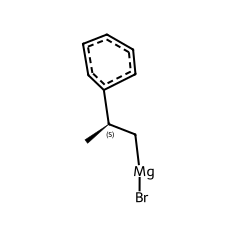 C[C@H]([CH2][Mg][Br])c1ccccc1